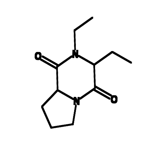 CCC1C(=O)N2CCCC2C(=O)N1CC